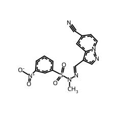 CN(N=Cc1cnn2ccc(C#N)cc12)S(=O)(=O)c1cccc([N+](=O)[O-])c1